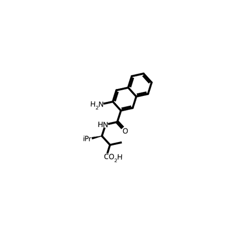 CC(C)[C@@H](NC(=O)c1cc2ccccc2cc1N)C(C)C(=O)O